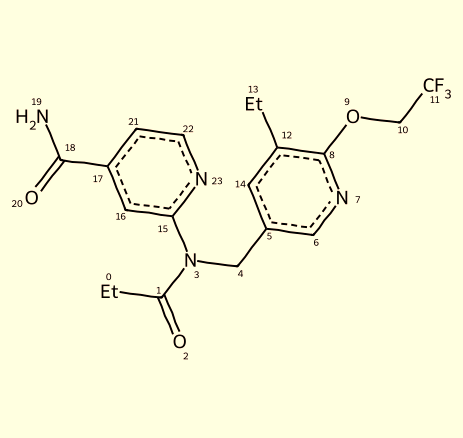 CCC(=O)N(Cc1cnc(OCC(F)(F)F)c(CC)c1)c1cc(C(N)=O)ccn1